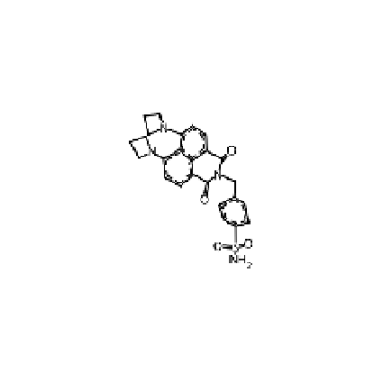 NS(=O)(=O)c1ccc(CN2C(=O)c3ccc(N4CCC4)c4c(N5CCC5)ccc(c34)C2=O)cc1